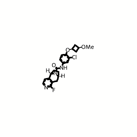 CO[C@H]1C[C@@H](Oc2ccc(NC(=O)N3[C@H]4CC[C@@H]3c3ccnc(F)c3C4)cc2Cl)C1